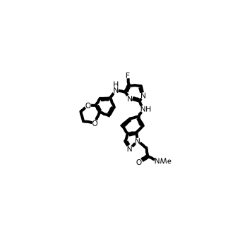 CNC(=O)Cn1ncc2ccc(Nc3ncc(F)c(Nc4ccc5c(c4)OCCO5)n3)cc21